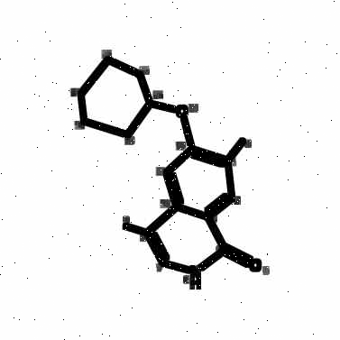 Cc1cc2c(=O)[nH]cc(C)c2cc1OC1CCCCC1